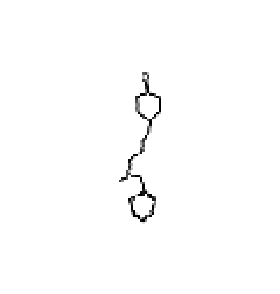 CN(CCCCC1CCC(=O)CC1)Cc1ccccc1